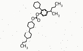 CCCC(C)c1ccc(OC(=O)O[C@H]2CC[C@H]([C@H]3CC[C@H](CCC)CC3)CC2)c(C2CCCCC2)c1